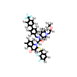 [2H]c1c([2H])c(F)c(F)c(C([2H])([2H])Sc2c([2H])c(=O)c3c([2H])c(C)c([2H])c([2H])c3n2C([2H])([2H])C(=O)N(Cc2c([2H])c([2H])c(-c3c([2H])c([2H])c(C(F)(F)F)c([2H])c3[2H])c([2H])c2[2H])C2([2H])C([2H])([2H])C([2H])([2H])N(CC([2H])([2H])OC([2H])([2H])[2H])C([2H])([2H])C2([2H])[2H])c1[2H]